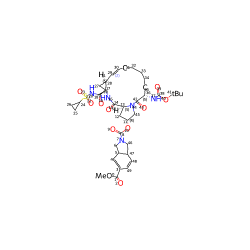 COC(=O)C1=CC2CN(C(=O)O[C@@H]3C[C@H]4C(=O)N[C@]5(C(=O)NS(=O)(=O)C6CC6)C[C@H]5/C=C\CCCCC[C@H](NC(=O)OC(C)(C)C)C(=O)N4C3)CC2C=C1